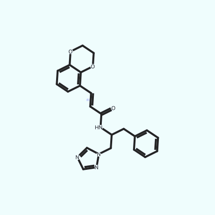 O=C(/C=C/c1cccc2c1OCCO2)NC(Cc1ccccc1)Cn1cncn1